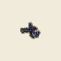 Cc1cc2c3c(c1)N(c1cc4c5c(c1)CC(C)(C)CN5CC(C)(C)C4)c1c(sc4ccc(C(C)(C)C)cc14)B3c1cc3c(cc1N2c1ccc(C(C)(C)C)cc1-c1ccc(C(C)(C)C)cc1)C(C)(C)c1cc2c(cc1C3(C)C)C(C)(C)CCC2(C)C